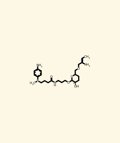 C/C=C(\N)COCC1CC[C@@H](O)C(OCCCNC(=O)CCCN(C)c2ccc(N)cc2)O1